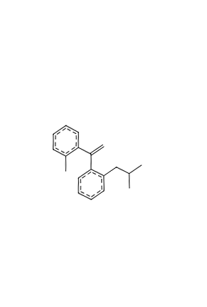 C=C(c1ccccc1C)c1ccccc1CC(C)C